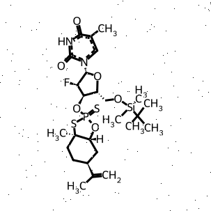 C=C(C)[C@H]1CC[C@@]2(C)SP(=S)(O[C@H]3[C@@H](F)[C@H](n4cc(C)c(=O)[nH]c4=O)O[C@@H]3CO[Si](C)(C)C(C)(C)C)O[C@@H]2C1